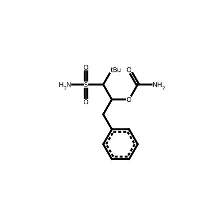 CC(C)(C)C(C(Cc1ccccc1)OC(N)=O)S(N)(=O)=O